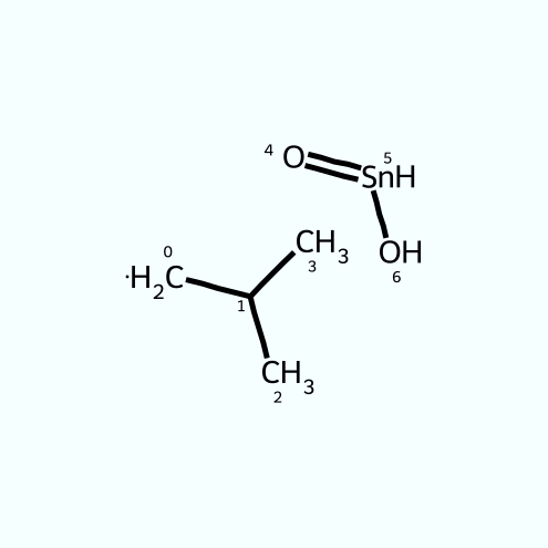 [CH2]C(C)C.[O]=[SnH][OH]